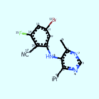 Cc1ncnc(C(C)C)c1Nc1cc(Br)cc(F)c1C#N